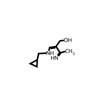 CC(=N)/C(=C\NCC1CC1)CO